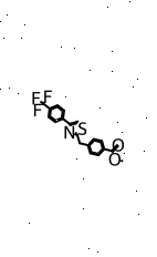 COC(=O)c1ccc(Cc2nc(-c3ccc(C(F)(F)F)cc3)cs2)cc1